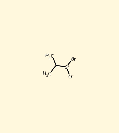 CC(C)[S+]([O-])Br